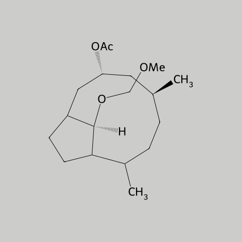 COCO[C@@H]1C2CCC1C(C)CC[C@H](C)C[C@@H](OC(C)=O)C2